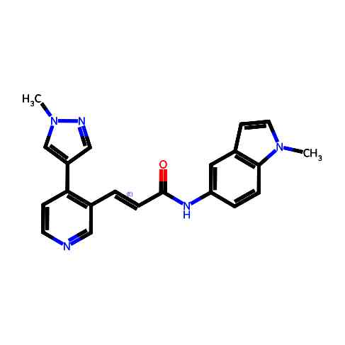 Cn1cc(-c2ccncc2/C=C/C(=O)Nc2ccc3c(ccn3C)c2)cn1